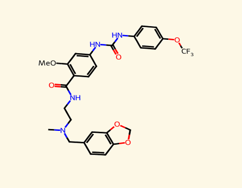 COc1cc(NC(=O)Nc2ccc(OC(F)(F)F)cc2)ccc1C(=O)NCCN(C)Cc1ccc2c(c1)OCO2